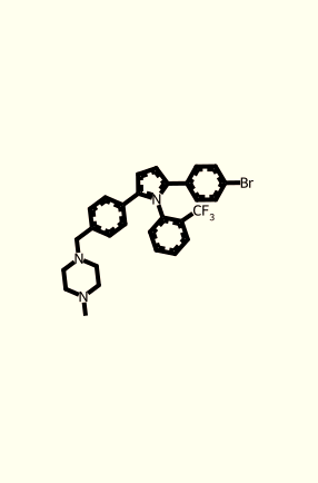 CN1CCN(Cc2ccc(-c3ccc(-c4ccc(Br)cc4)n3-c3ccccc3C(F)(F)F)cc2)CC1